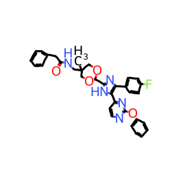 CC1(CNC(=O)Cc2ccccc2)COC(c2nc(-c3ccc(F)cc3)c(-c3ccnc(Oc4ccccc4)n3)[nH]2)OC1